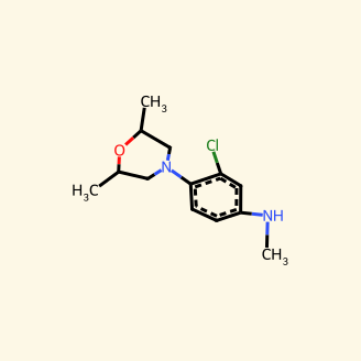 CNc1ccc(N2CC(C)OC(C)C2)c(Cl)c1